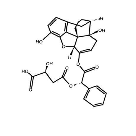 O=C(C[C@H](O)C(=O)O)O[C@H](C(=O)OC1=CC[C@@]2(O)[C@@H]3CCC[C@@]24c2c(ccc(O)c2O[C@@H]14)C3)c1ccccc1